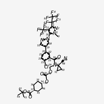 Cn1nc(C(F)(F)C(F)(F)F)c(C(F)(F)F)c1-n1cc(-c2ccc(Cl)c(C(=O)N(COC(=O)O[C@H]3CC[C@H](C(=O)OC(C)(C)C)CC3)C3(C#N)CC3)c2)cn1